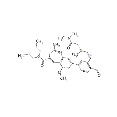 CCCN(CCC)C(=O)C1=Cc2c(cc(-c3ccc(C=O)c(/C=C\N(C)CC(=O)N(C)C)c3)cc2OC)N=C(N)C1